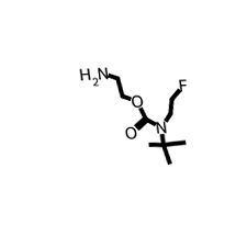 CC(C)(C)N(CCF)C(=O)OCCN